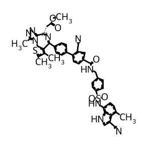 COC(=O)C[C@@H]1N=C(c2ccc(-c3ccc(C(=O)NCc4ccc(S(=O)(=O)Nc5ccc(C)c6c(C#N)c[nH]c56)cc4)cc3C#N)cc2)c2c(sc(C)c2C)-n2c(C)nnc21